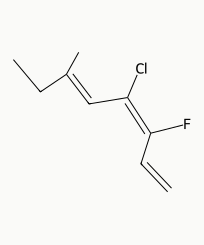 C=C/C(F)=C(Cl)\C=C(/C)CC